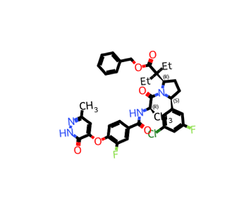 CCC(CC)(C(=O)OCc1ccccc1)[C@H]1CC[C@@H](c2cc(F)cc(Cl)c2)N1C(=O)[C@@H](C)NC(=O)c1ccc(Oc2cc(C)n[nH]c2=O)c(F)c1